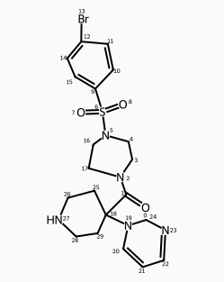 O=C(N1CCN(S(=O)(=O)c2ccc(Br)cc2)CC1)C1(N2C=CC=NC2)CCNCC1